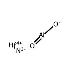 [Hf+4].[N-3].[O]=[Al][O-]